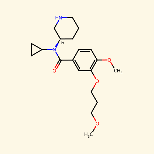 COCCCOc1cc(C(=O)N(C2CC2)[C@@H]2CCCNC2)ccc1OC